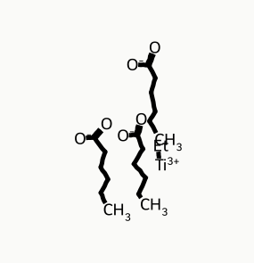 CCCCCC(=O)[O-].CCCCCC(=O)[O-].CCCCCC(=O)[O-].C[CH2][Ti+3]